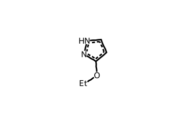 [CH2]COc1cc[nH]n1